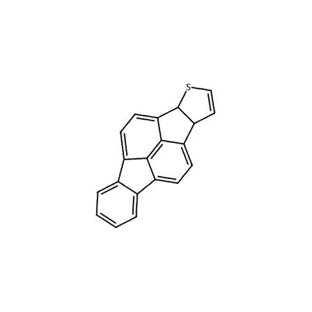 C1=CC2c3ccc4c5c(ccc(c35)C2S1)-c1ccccc1-4